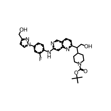 CC(C)(C)OC(=O)N1CCC(C(CO)c2ccc3cnc(Nc4ccc(-n5ccc(CO)n5)cc4F)cc3n2)CC1